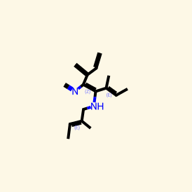 C=CC(=C)/C(N=C)=C(NC/C(C)=C/C)\C(C)=C\C